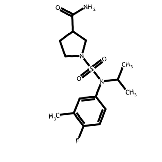 Cc1cc(N(C(C)C)S(=O)(=O)N2CCC(C(N)=O)C2)ccc1F